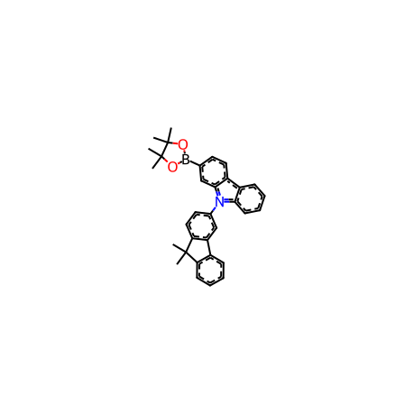 CC1(C)c2ccccc2-c2cc(-n3c4ccccc4c4ccc(B5OC(C)(C)C(C)(C)O5)cc43)ccc21